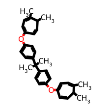 CC1=CC=C(Oc2ccc(C(C)(C)c3ccc(OC4=CC=C(C)C(C)C=C4)cc3)cc2)C=CC1C